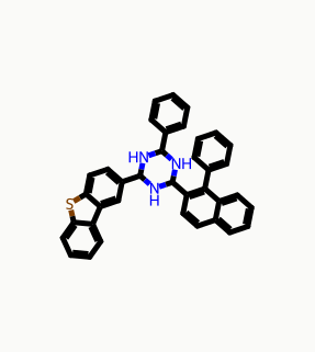 c1ccc(-c2c(C3NC(c4ccccc4)NC(c4ccc5sc6ccccc6c5c4)N3)ccc3ccccc23)cc1